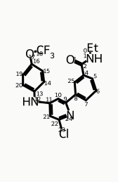 CCNC(=O)c1cccc(-c2cc(Nc3ccc(OC(F)(F)F)cc3)cc(Cl)n2)c1